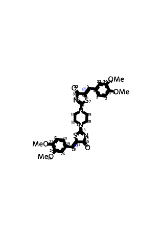 COc1ccc(/C=C2\SC(N3CCN(C4=NC(=O)/C(=C/c5ccc(OC)c(OC)c5)S4)CC3)=NC2=O)cc1OC